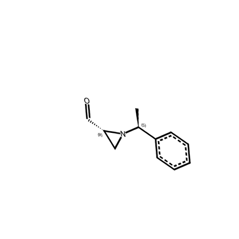 C[C@@H](c1ccccc1)N1C[C@@H]1C=O